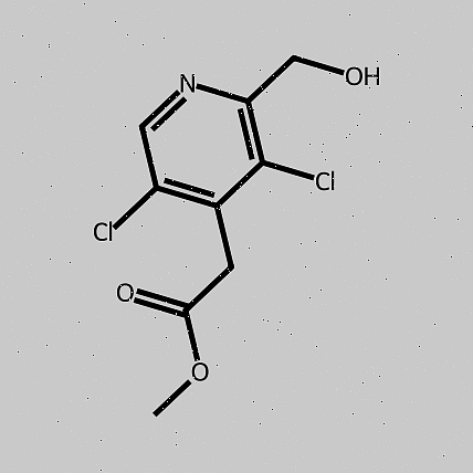 COC(=O)Cc1c(Cl)cnc(CO)c1Cl